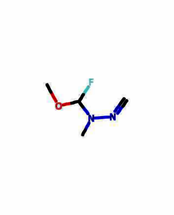 C=NN(C)C(F)OC